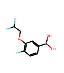 OB(O)c1ccc(F)c(OCC(F)F)c1